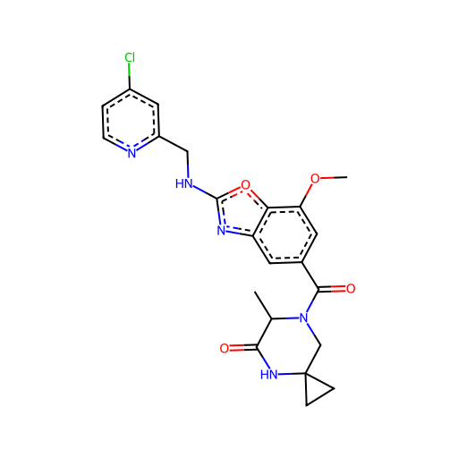 COc1cc(C(=O)N2CC3(CC3)NC(=O)C2C)cc2nc(NCc3cc(Cl)ccn3)oc12